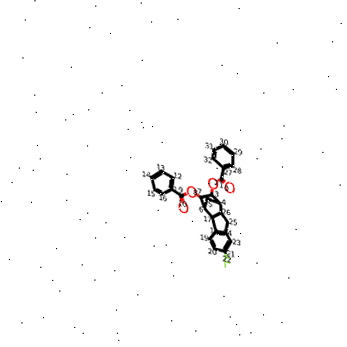 O=C(OC1C2CC(C1OC(=O)c1ccccc1)C1c3ccc(F)cc3CC21)c1ccccc1